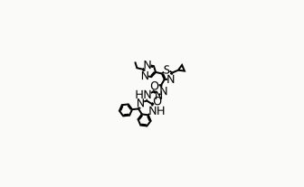 CCc1ncc(-c2sc(C3CC3)nc2-c2nnc(N[C@H]3N=C(c4ccccc4)c4ccccc4NC3=O)o2)cn1